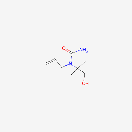 C=CCN(C(N)=O)C(C)(C)CO